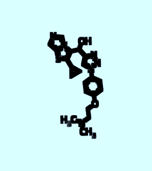 CN(C)CCOc1ccc(-n2cc(C(O)c3c(C4CC4)sc4cncn34)nn2)cc1